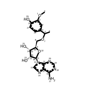 COc1cc(C(C)OC[C@H]2O[C@@H](n3cnc4c(N)ncnc43)[C@H](O)[C@@H]2O)ccc1O